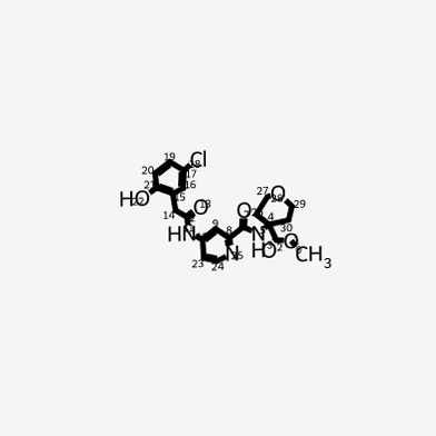 COC(=O)C1(NC(=O)c2cc(NC(=O)Cc3cc(Cl)ccc3O)ccn2)CCOCC1